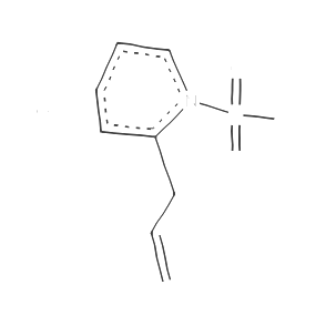 C=CCc1cccc[n+]1S(=O)(=O)O.[OH-]